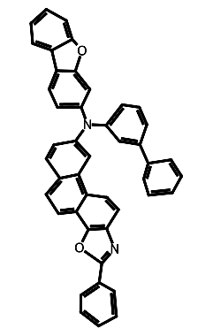 c1ccc(-c2cccc(N(c3ccc4c(c3)oc3ccccc34)c3ccc4ccc5c(ccc6nc(-c7ccccc7)oc65)c4c3)c2)cc1